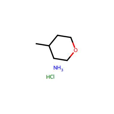 CC1CCOCC1.Cl.N